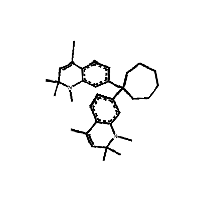 CC1=CC(C)(C)N(C)c2cc(C3(c4ccc5c(c4)N(C)C(C)(C)C=C5C)CCCCCC3)ccc21